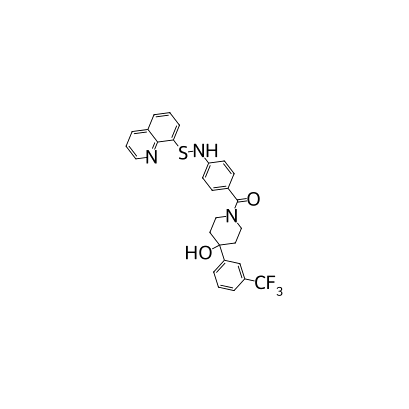 O=C(c1ccc(NSc2cccc3cccnc23)cc1)N1CCC(O)(c2cccc(C(F)(F)F)c2)CC1